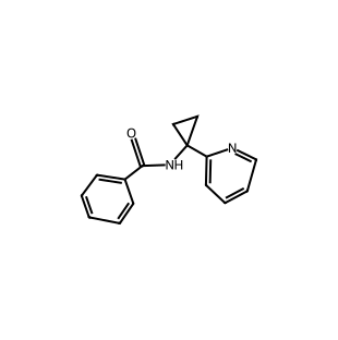 O=C(NC1(c2ccccn2)CC1)c1ccccc1